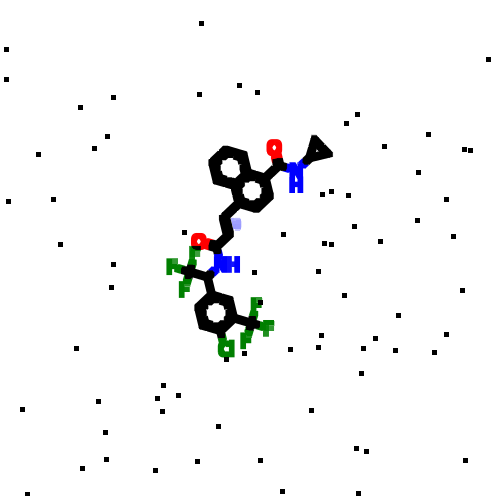 O=C(/C=C/c1ccc(C(=O)NC2CC2)c2ccccc12)NC(c1ccc(Cl)c(C(F)(F)F)c1)C(F)(F)F